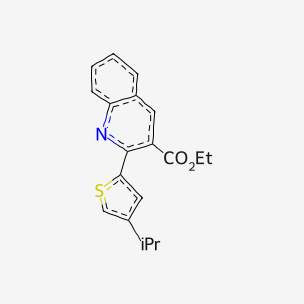 CCOC(=O)c1cc2ccccc2nc1-c1cc(C(C)C)cs1